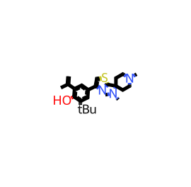 C=C(C)c1cc(-c2csc(C3(N(C)C)CCN(C)CC3)n2)cc(C(C)(C)C)c1O